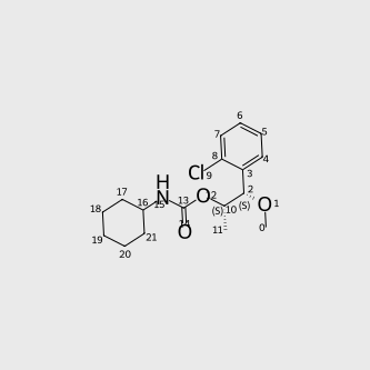 CO[C@@H](c1ccccc1Cl)[C@H](C)OC(=O)NC1CCCCC1